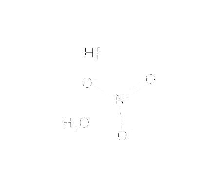 O.O=[N+]([O-])[O-].[Hf]